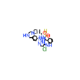 CN1CCNCc2ccc(Nc3ncc(Cl)c(Nc4ccccc4CN[SH](=O)=O)n3)cc21